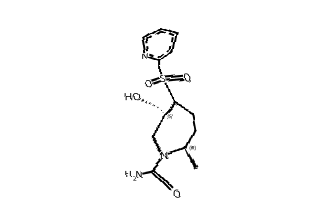 C[C@@H]1CC[C](S(=O)(=O)c2ccccn2)[C@@H](O)CN1C(N)=O